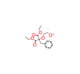 CCOC(=O)C(Cc1ccccc1)(OC[C@H](C)OC)C(=O)OCC